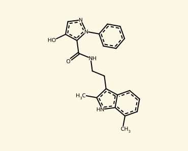 Cc1[nH]c2c(C)cccc2c1CCNC(=O)c1c(O)cnn1-c1ccccc1